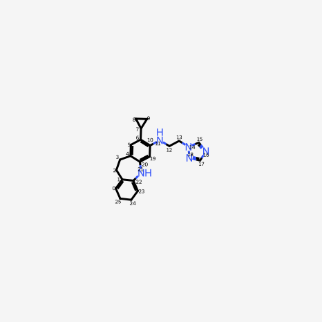 C1=C2CCc3cc(C4CC4)c(NCCn4cncn4)cc3NC2=CCC1